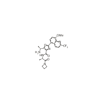 COc1ccc(-c2nc(C(=O)N[C@H](C)C(=O)N3CCC3)c([C@H](C)N)o2)c2ccc(C(F)(F)F)nc12